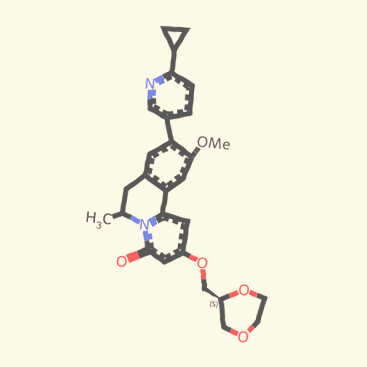 COc1cc2c(cc1-c1ccc(C3CC3)nc1)CC(C)n1c-2cc(OC[C@@H]2COCCO2)cc1=O